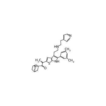 C=C(C(=O)N1CC2CCC1CC2)c1cc2c(CCNCCc3ccncc3)c(-c3cc(C)cc(C)c3)[nH]c2s1